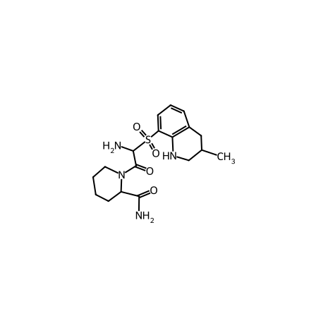 CC1CNc2c(cccc2S(=O)(=O)C(N)C(=O)N2CCCCC2C(N)=O)C1